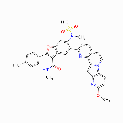 CNC(=O)c1c(-c2ccc(C)cc2)oc2cc(N(C)S(C)(=O)=O)c(-c3ccc4ccn5c6ccc(OC)nc6cc5c4n3)cc12